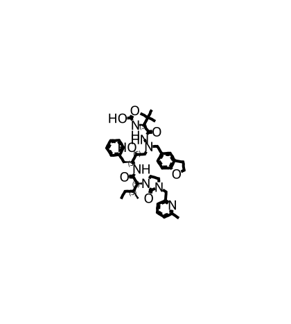 CC[C@H](C)[C@@H](C(=O)N[C@@H](Cc1ccccc1)[C@@H](O)CN(Cc1ccc2c(c1)CCO2)NC(=O)[C@@H](NC(=O)O)C(C)(C)C)N1CCN(Cc2cccc(C)n2)C1=O